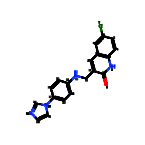 O=c1[nH]c2ccc(Cl)cc2cc1CNc1ccc(-n2ccnc2)cc1